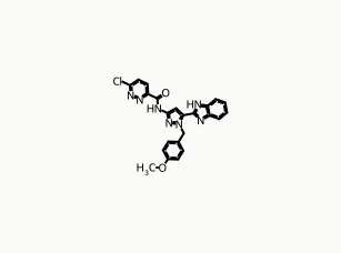 COc1ccc(Cn2nc(NC(=O)c3ccc(Cl)nn3)cc2-c2nc3ccccc3[nH]2)cc1